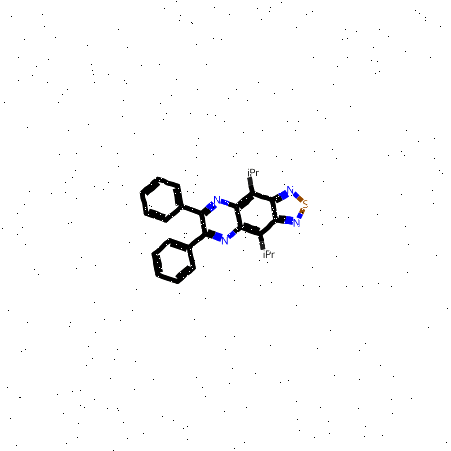 CC(C)c1c2nsnc2c(C(C)C)c2nc(-c3ccccc3)c(-c3ccccc3)nc12